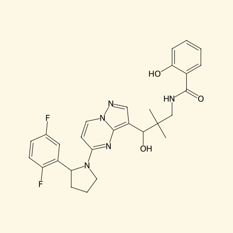 CC(C)(CNC(=O)c1ccccc1O)C(O)c1cnn2ccc(N3CCCC3c3cc(F)ccc3F)nc12